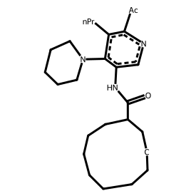 CCCc1c(C(C)=O)ncc(NC(=O)C2CCCCCCCCC2)c1N1CCCCC1